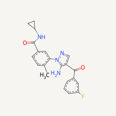 Cc1ccc(C(=O)NC2CC2)cc1-n1ncc(C(=O)c2cccc(F)c2)c1N